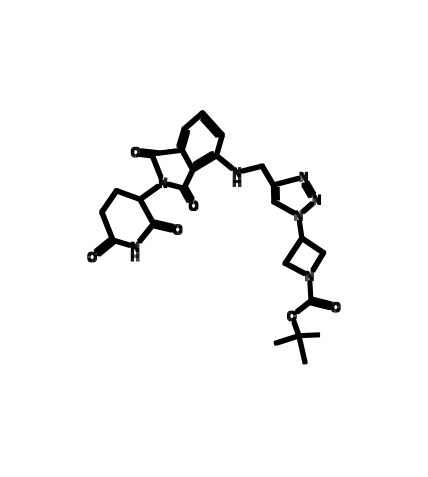 CC(C)(C)OC(=O)N1CC(n2cc(CNc3cccc4c3C(=O)N(C3CCC(=O)NC3=O)C4=O)nn2)C1